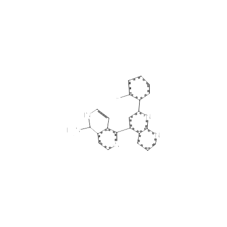 NC1NC=Cc2c1ccnc2-c1cc(-c2ccccc2F)nc2ncccc12